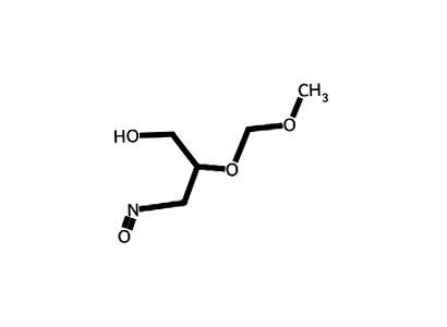 COCOC(CO)CN=O